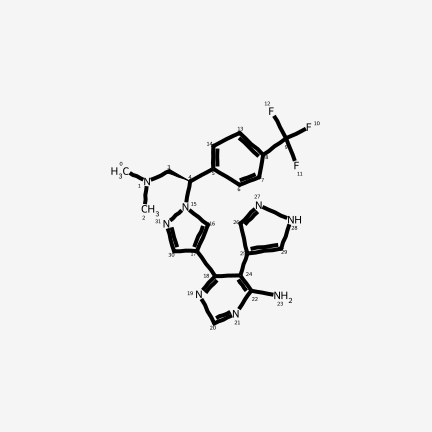 CN(C)C[C@@H](c1ccc(C(F)(F)F)cc1)n1cc(-c2ncnc(N)c2-c2cn[nH]c2)cn1